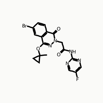 CC1(Oc2nn(CC(=O)Nc3ncc(F)cn3)c(=O)c3ccc(Br)cc23)CC1